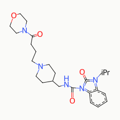 CC(C)n1c(=O)n(C(=O)NCC2CCN(CCCC(=O)N3CCOCC3)CC2)c2ccccc21